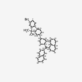 CC1(C)c2cc(Br)ccc2-c2ccc(-c3ccc4c(c3)-c3cccc5cccc(c35)N4c3ccc4ccccc4c3)cc21